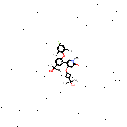 Cc1cc(F)cc(C)c1Oc1ccc(C(C)(C)O)cc1-c1cn(C)c(=O)cc1OC1CC(C(C)(C)O)C1